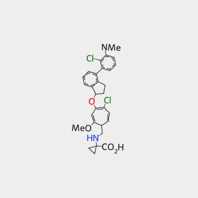 CNc1cccc(-c2cccc3c2CCC3OC2=C(Cl)C=CC(CNC3(C(=O)O)CC3)C(OC)=C2)c1Cl